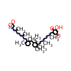 CC1=C(/C=C/C(C)=C/C=C/C(C)=C/C2=NOC(=O)C2)C(C)(CC2CCC(C)(C)C(/C=C/C(C)=C/C=C/C(C)=C/C3=CC(=O)C=C(O)C3=O)=C2C)CCC1